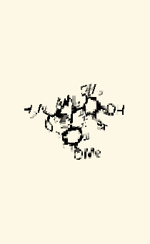 COc1ccc(-n2c(C(N)=O)nnc2-c2cc(Br)c(O)cc2O)cc1